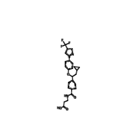 O=C(O)CCNC(=O)c1ccc(C(CC2CC2)Oc2ccc(-n3cc(C(F)(F)F)cn3)cc2)cc1